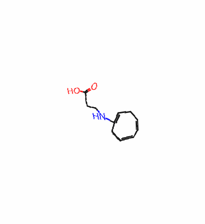 O=C(O)CCN/C1=C/C/C=C\C=C/C1